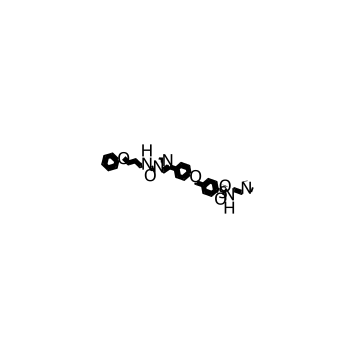 CN(C)CCNS(=O)(=O)c1ccc(COc2ccc(-c3cn(C(=O)NCCCOc4ccccc4)cn3)cc2)cc1